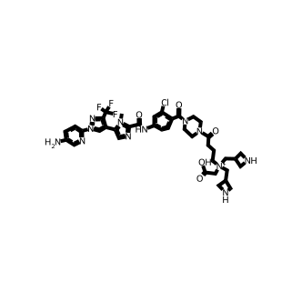 Cn1c(-c2cn(-c3ccc(N)cn3)nc2C(F)(F)F)cnc1C(=O)Nc1ccc(C(=O)N2CCN(C(=O)CCC[N+](CC(=O)O)(CC3CNC3)CC3CNC3)CC2)c(Cl)c1